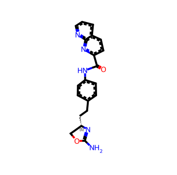 NC1=N[C@@H](CCc2ccc(NC(=O)c3ccc4cccnc4n3)cc2)CO1